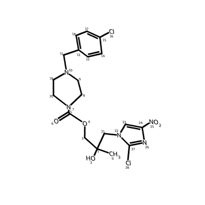 CC(O)(COC(=O)N1CCN(Cc2ccc(Cl)cc2)CC1)Cn1cc([N+](=O)[O-])nc1Cl